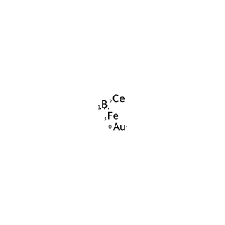 [Au].[B].[Ce].[Fe]